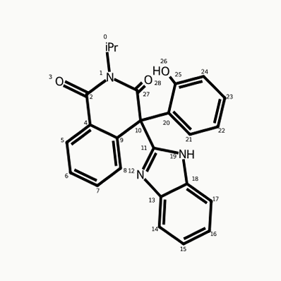 CC(C)N1C(=O)c2ccccc2C(c2nc3ccccc3[nH]2)(c2ccccc2O)C1=O